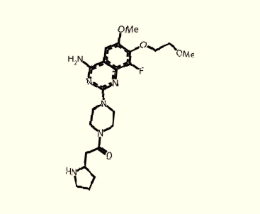 COCCOc1c(OC)cc2c(N)nc(N3CCN(C(=O)CC4CCCN4)CC3)nc2c1F